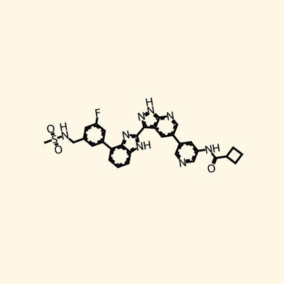 CS(=O)(=O)NCc1cc(F)cc(-c2cccc3[nH]c(-c4n[nH]c5ncc(-c6cncc(NC(=O)C7CCC7)c6)cc45)nc23)c1